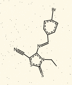 CCn1c(/N=C/c2ccc(Br)cc2)c(C#N)sc1=S